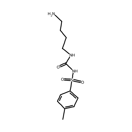 Cc1ccc(S(=O)(=O)NC(=O)NCCCCN)cc1